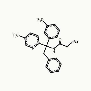 CC(C)(C)CC(=O)NC(Cc1ccccc1)(c1cccc(C(F)(F)F)c1)c1ccc(C(F)(F)F)cn1